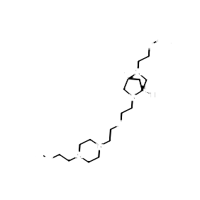 COCCN1CCN(CCOCCN2C[C@@H]3C[C@@H]2CN3CCOC)CC1